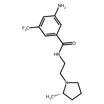 C[C@H]1CCCN1CCNC(=O)c1cc(N)cc(C(F)(F)F)c1